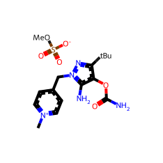 COS(=O)(=O)[O-].C[n+]1ccc(Cn2nc(C(C)(C)C)c(OC(N)=O)c2N)cc1